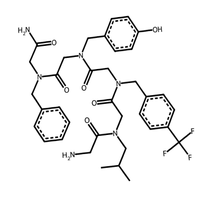 CC(C)CN(CC(=O)N(CC(=O)N(CC(=O)N(CC(N)=O)Cc1ccccc1)Cc1ccc(O)cc1)Cc1ccc(C(F)(F)F)cc1)C(=O)CN